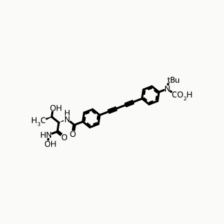 C[C@@H](O)[C@H](NC(=O)c1ccc(C#CC#Cc2ccc(N(C(=O)O)C(C)(C)C)cc2)cc1)C(=O)NO